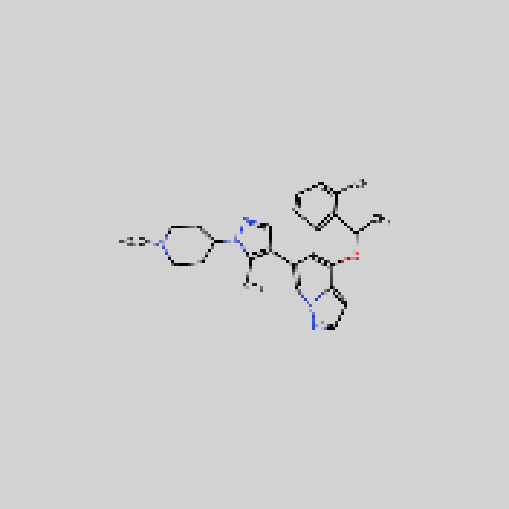 Cc1c(-c2cc(OC(C)c3ccccc3C#N)c3ccnn3c2)cnn1C1CCN(C(=O)O)CC1